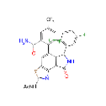 CC(=O)Nc1nc2c3c(c(-c4c(F)cc(C(F)(F)F)cc4C(N)=O)cc2s1)C(c1cc(F)ccc1Cl)NC3=O